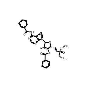 COP(=O)(/C=C/[C@H]1OC(n2cnc3c(NC(=O)c4ccccc4)ncnc32)[C@H](F)[C@@H]1OC(=O)c1ccccc1)OC